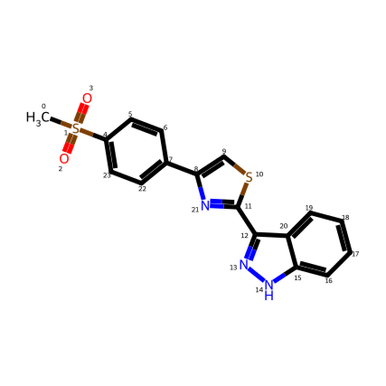 CS(=O)(=O)c1ccc(-c2csc(-c3n[nH]c4ccccc34)n2)cc1